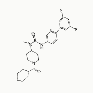 CN(C(=O)Nc1ccc(-c2cc(F)cc(F)c2)nc1)C1CCN(C(=O)C2CCCCC2)CC1